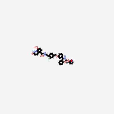 O=C(NC(c1ccccc1)c1cccc(OCc2ccc(CCNC[C@@H](O)c3ccc(O)c4[nH]c(=O)ccc34)c(Cl)c2)c1)O[C@H]1CN2CCC1CC2